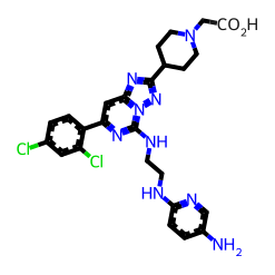 Nc1ccc(NCCNc2nc(-c3ccc(Cl)cc3Cl)cc3nc(C4CCN(CC(=O)O)CC4)nn23)nc1